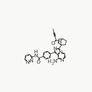 CC#CC(=O)N1C2CCC1(c1nc(-c3ccc(C(=O)Nc4cccnn4)cc3)c3c(N)nccn13)CC2